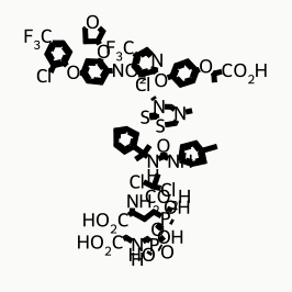 CC(Cl)(Cl)C(=O)O.CC(Oc1ccc(Oc2ncc(C(F)(F)F)cc2Cl)cc1)C(=O)O.CN1CSC(=S)N(C)C1.CP(=O)(O)CCC(N)C(=O)O.Cc1ccc(NC(=O)NC(C)(C)c2ccccc2)cc1.O=C(O)CNCP(=O)(O)O.O=[N+]([O-])c1ccc(Oc2ccc(C(F)(F)F)cc2Cl)cc1OC1CCOC1